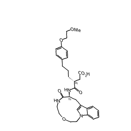 COCCOc1ccc(CCC[C@H](CC(=O)O)C(=O)N[C@H]2Cc3cn(c4ccccc34)CCOCCNC2=O)cc1